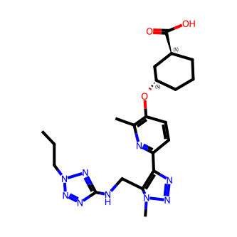 CCCn1nnc(NCc2c(-c3ccc(O[C@H]4CCC[C@H](C(=O)O)C4)c(C)n3)nnn2C)n1